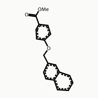 COC(=O)c1ccc(OCc2ccc3ccccc3c2)cc1